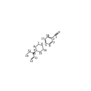 C#Cc1ccc([C@H]2CC[C@H](C(C=C)CC)CC2)cc1